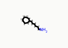 NCCCCCCC1CCCCCCC1